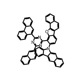 c1ccc2cc(-c3nc(-c4cc5ccccc5c5ccccc45)nc(-c4c(-n5c6ccccc6c6cc7ccccc7cc65)ccc5c4oc4c6ccccc6ccc54)n3)ccc2c1